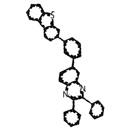 c1ccc(-c2nc3ccc(-c4cccc(-c5ccc6c(c5)sc5ccccc56)c4)cc3nc2-c2ccccc2)cc1